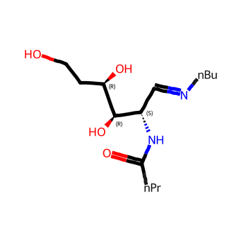 CCCCN=C[C@H](NC(=O)CCC)[C@@H](O)[C@H](O)CCO